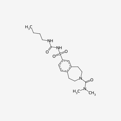 CCCCNC(=O)NS(=O)(=O)c1ccc2c(c1)CCN(C(=O)N(C)C)CC2